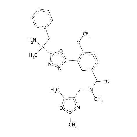 Cc1nc(CN(C)C(=O)c2ccc(OC(F)(F)F)c(-c3nnc(C(C)(N)Cc4ccccc4)o3)c2)c(C)o1